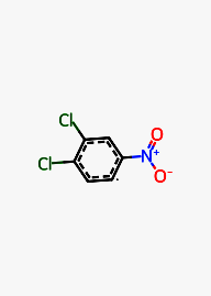 O=[N+]([O-])c1[c]cc(Cl)c(Cl)c1